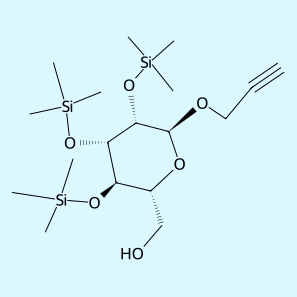 C#CCO[C@H]1O[C@H](CO)[C@@H](O[Si](C)(C)C)[C@H](O[Si](C)(C)C)[C@@H]1O[Si](C)(C)C